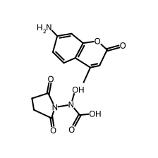 Cc1cc(=O)oc2cc(N)ccc12.O=C(O)N(O)N1C(=O)CCC1=O